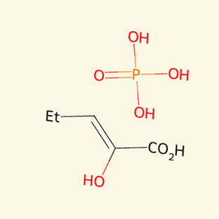 CC/C=C(\O)C(=O)O.O=P(O)(O)O